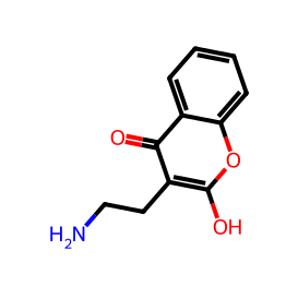 NCCc1c(O)oc2ccccc2c1=O